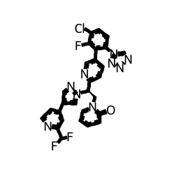 O=c1ccccn1C[C@H](c1ccc(-c2c(-n3cnnn3)ccc(Cl)c2F)cn1)n1cc(-c2ccnc(C(F)F)c2)cn1